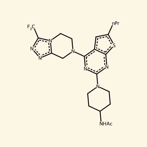 CCCc1cc2c(N3CCn4c(nnc4C(F)(F)F)C3)nc(N3CCC(NC(C)=O)CC3)nc2s1